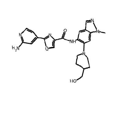 Cn1ncc2cc(NC(=O)c3coc(-c4ccnc(N)c4)n3)c(N3CCC(CO)CC3)cc21